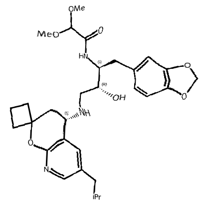 COC(OC)C(=O)N[C@@H](Cc1ccc2c(c1)OCO2)[C@H](O)CN[C@H]1CC2(CCC2)Oc2ncc(CC(C)C)cc21